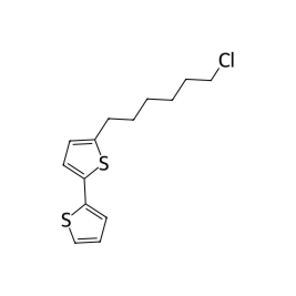 ClCCCCCCc1ccc(-c2cccs2)s1